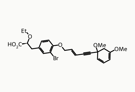 CCO[C@@H](Cc1ccc(OC/C=C/C#CC2(OC)C=CC=C(OC)C2)c(Br)c1)C(=O)O